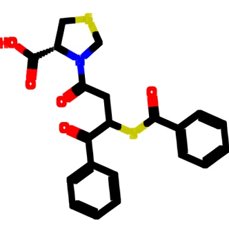 O=C(SC(CC(=O)N1CSC[C@H]1C(=O)O)C(=O)c1ccccc1)c1ccccc1